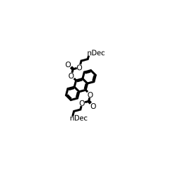 CCCCCCCCCCCCOC(=O)Oc1c2ccccc2c(OC(=O)OCCCCCCCCCCCC)c2ccccc12